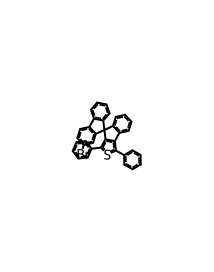 Brc1ccc2c(c1)C1(c3ccccc3-2)c2ccccc2-c2c(-c3ccccc3)sc(-c3ccccc3)c21